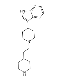 c1ccc2c(C3CCN(CCC4CCNCC4)CC3)c[nH]c2c1